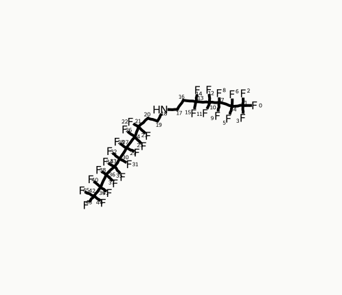 FC(F)(F)C(F)(F)C(F)(F)C(F)(F)C(F)(F)CCNCCC(F)(F)C(F)(F)C(F)(F)C(F)(F)C(F)(F)C(F)(F)C(F)(F)C(F)(F)F